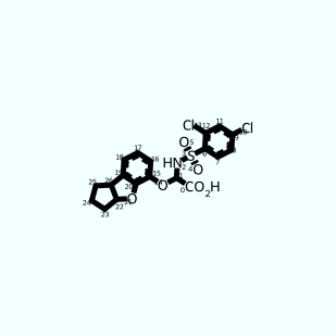 O=C(O)C(NS(=O)(=O)c1ccc(Cl)cc1Cl)Oc1cccc2c1OC1CCCC21